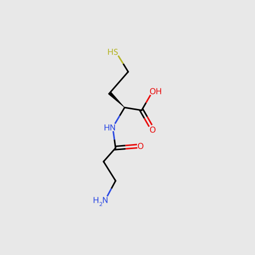 NCCC(=O)N[C@@H](CCS)C(=O)O